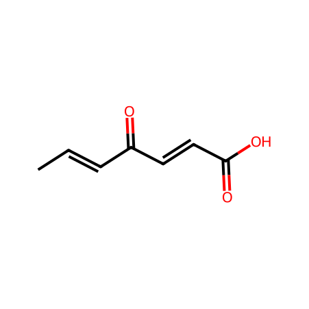 CC=CC(=O)C=CC(=O)O